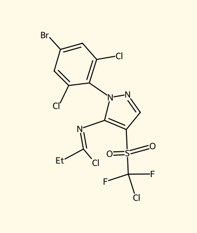 CCC(Cl)=Nc1c(S(=O)(=O)C(F)(F)Cl)cnn1-c1c(Cl)cc(Br)cc1Cl